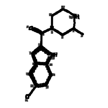 CC1CN(C(=O)c2cc3cc(Cl)ccc3[nH]2)CCN1